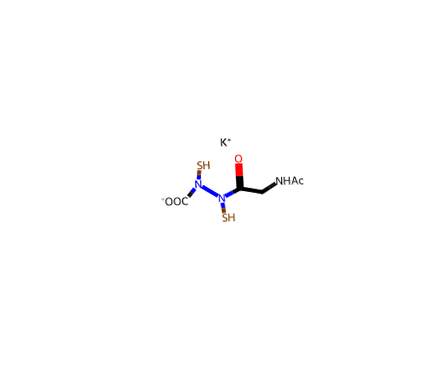 CC(=O)NCC(=O)N(S)N(S)C(=O)[O-].[K+]